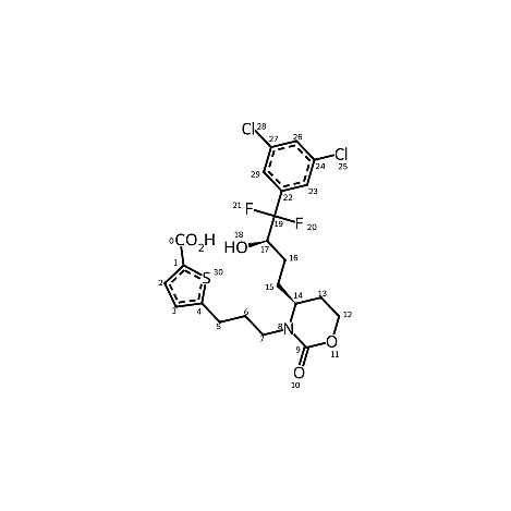 O=C(O)c1ccc(CCCN2C(=O)OCC[C@@H]2CC[C@@H](O)C(F)(F)c2cc(Cl)cc(Cl)c2)s1